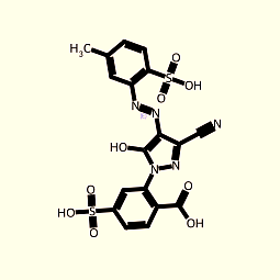 Cc1ccc(S(=O)(=O)O)c(/N=N/c2c(C#N)nn(-c3cc(S(=O)(=O)O)ccc3C(=O)O)c2O)c1